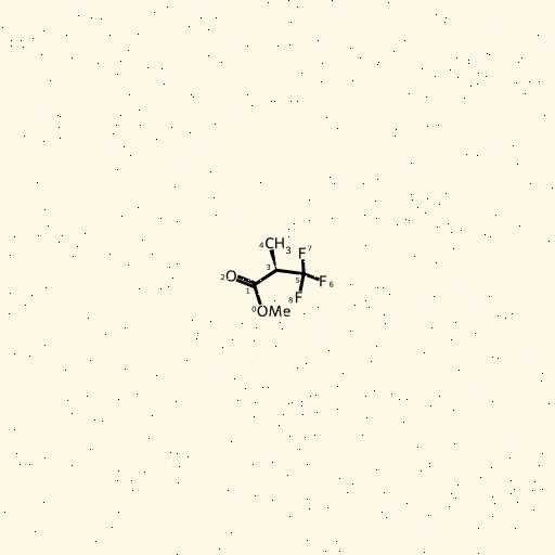 COC(=O)[C@@H](C)C(F)(F)F